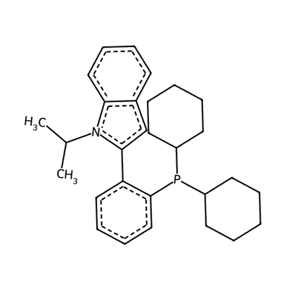 CC(C)n1c(-c2ccccc2P(C2CCCCC2)C2CCCCC2)cc2ccccc21